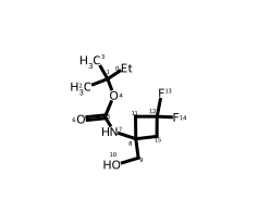 CCC(C)(C)OC(=O)NC1(CO)CC(F)(F)C1